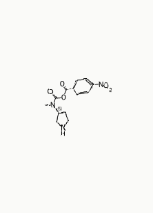 CN(C(=O)OC(=O)c1ccc([N+](=O)[O-])cc1)[C@H]1CCNC1